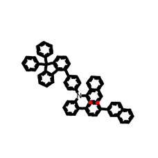 c1ccc(C2(c3ccccc3)c3ccccc3-c3c(-c4ccc(N(c5ccccc5-c5ccc(-c6ccc7ccccc7c6)cc5)c5cccc6ccccc56)cc4)cccc32)cc1